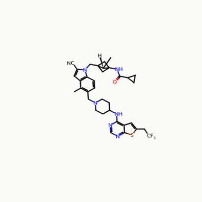 Cc1c(CN2CCC(Nc3ncnc4sc(CC(F)(F)F)cc34)CC2)ccc2c1cc(C#N)n2CC12CC(NC(=O)C3CC3)(C1)[C@H]2C